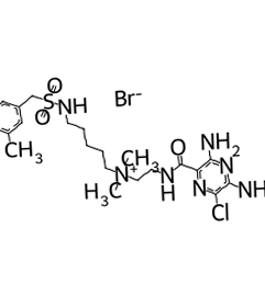 Cc1cccc(CS(=O)(=O)NCCCCC[N+](C)(C)CCNC(=O)c2nc(Cl)c(N)nc2N)c1.[Br-]